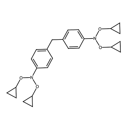 c1cc(N(OC2CC2)OC2CC2)ccc1Cc1ccc(N(OC2CC2)OC2CC2)cc1